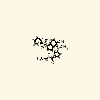 CN(c1c(C#N)cnc2c1ccn2S(=O)(=O)c1ccccc1)C1CCN(C(=O)NCC(F)(F)F)C1